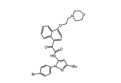 CC(C)(C)c1cc(NC(=O)C(=O)c2ccc(OCCN3CCOCC3)c3ccccc23)n(-c2ccc(Br)cc2)n1